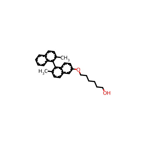 Cc1ccc2ccccc2c1-c1c(C)ccc2cc(OCCCCCCO)ccc12